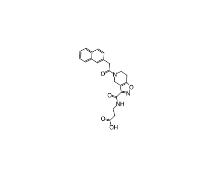 O=C(O)CCNC(=O)c1noc2c1CN(C(=O)Cc1ccc3ccccc3c1)CC2